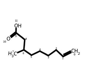 C=CCCCCC(C)CC(=O)O